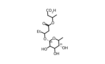 CCC(CC(=O)OC(C)CC(=O)O)O[C@@H]1OC(C)[C@H](O)C(O)C1O